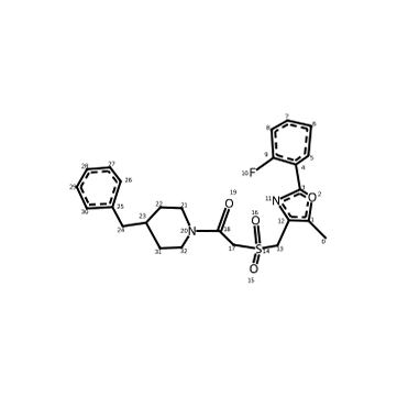 Cc1oc(-c2ccccc2F)nc1CS(=O)(=O)CC(=O)N1CCC(Cc2ccccc2)CC1